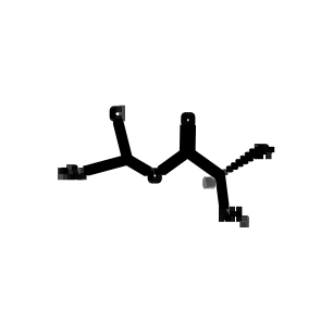 CCCCC(Cl)OC(=O)[C@@H](N)C(C)C